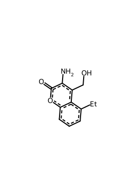 CCc1cccc2oc(=O)c(N)c(CO)c12